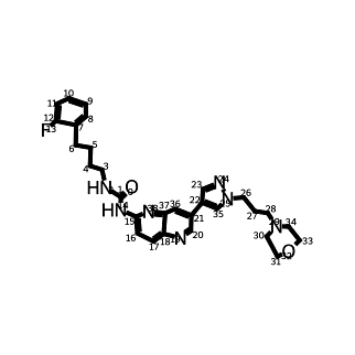 O=C(NCCCCc1ccccc1F)Nc1ccc2ncc(-c3cnn(CCCN4CCOCC4)c3)cc2n1